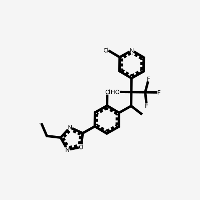 [CH2]Cc1noc(-c2ccc(C(C)C(O)(c3ccnc(Cl)c3)C(F)(F)F)c(Cl)c2)n1